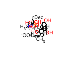 CCCCCCCCCCCCC(O)(C[N+](C)(C)C)P(=O)(O)O.C[C@H](CCC(=O)[O-])[C@H]1CC[C@H]2[C@@H]3[C@H](O)C[C@@H]4C[C@H](O)CC[C@]4(C)[C@H]3C[C@H](O)[C@]12C